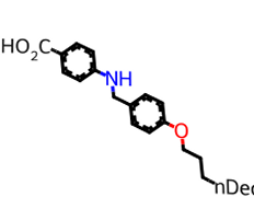 CCCCCCCCCCCCCOc1ccc(CNc2ccc(C(=O)O)cc2)cc1